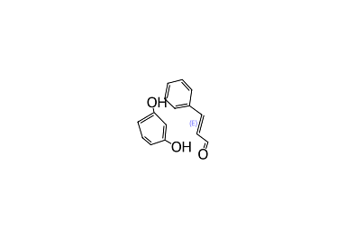 O=C/C=C/c1ccccc1.Oc1cccc(O)c1